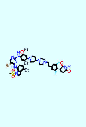 CCOc1cc(N2CCC(N3CCN(CCc4cc(F)c([C@H]5CCC(=O)NC5=O)c(F)c4)CC3)CC2)c(CC)cc1Nc1ncc(Br)c(Nc2ccc(CC)c3ccn(S(C)(=O)=O)c23)n1